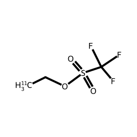 [11CH3]COS(=O)(=O)C(F)(F)F